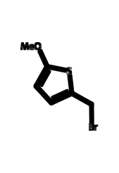 COc1ccc(CBr)s1